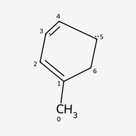 CC1=C[C]=C[C]C1